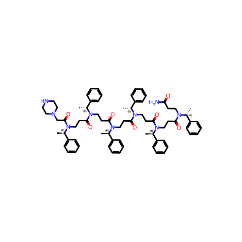 C[C@H](c1ccccc1)N(CCC(N)=O)C(=O)CCN(C(=O)CCN(C(=O)CCN(C(=O)CCN(C(=O)CCN(C(=O)CN1CCNCC1)[C@H](C)c1ccccc1)[C@H](C)c1ccccc1)[C@H](C)c1ccccc1)[C@H](C)c1ccccc1)[C@H](C)c1ccccc1